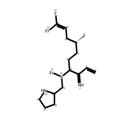 C=CC(=N)C(CC[C@@H](C)C/C=C(/F)CC)N(CC)CC1CCCN1